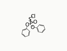 O=P(Oc1ccccc1)(Oc1ccccc1)SCl